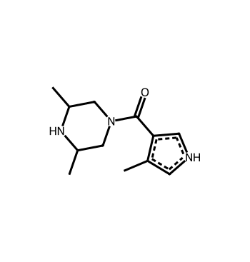 Cc1c[nH]cc1C(=O)N1CC(C)NC(C)C1